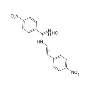 Cl.N=C(N/C=C/c1ccc([N+](=O)[O-])cc1)c1ccc([N+](=O)[O-])cc1